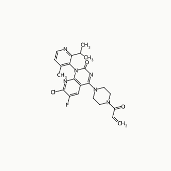 C=CC(=O)N1CCN(c2nc(=O)n(-c3c(C)ccnc3C(C)C)c3nc(Cl)c(F)cc23)CC1